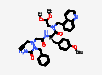 C#CCN(CC(=O)N[C@@H](Cc1ccc(OC(C)(C)C)cc1)C(=O)N(Cc1cccc2ncccc12)CC(OCC)OCC)N(Cc1ccccc1)C(N)=O